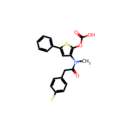 CN(C(=O)Cc1ccc(F)cc1)c1cc(-c2ccccc2)sc1OC(=O)O